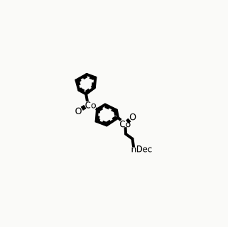 CCCCCCCCCCC[CH2][Co](=[O])[c]1cc[c]([Co](=[O])[c]2ccccc2)cc1